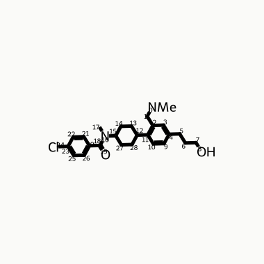 CNCc1cc(CCCO)ccc1C1CCC(N(C)C(=O)c2ccc(Cl)cc2)CC1